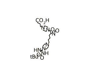 CN1C(=O)OC(N2CCN(CCCC(=O)O)CC2)C1CCCCN1CCN(C(=N)NC(=O)OC(C)(C)C)CC1